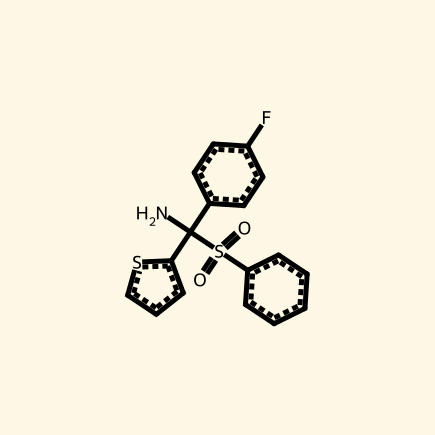 NC(c1ccc(F)cc1)(c1cccs1)S(=O)(=O)c1ccccc1